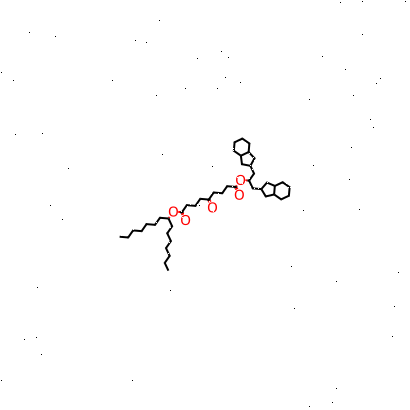 CCCCCCCC(CCCCCCC)OC(=O)CCCC(=O)CCCC(=O)OC(CC1CC2CCCCC2C1)CC1CC2CCCCC2C1